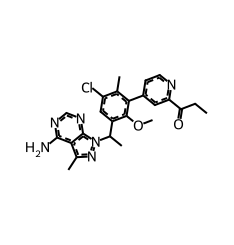 CCC(=O)c1cc(-c2c(C)c(Cl)cc(C(C)n3nc(C)c4c(N)ncnc43)c2OC)ccn1